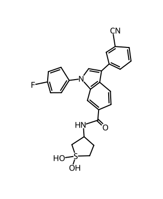 N#Cc1cccc(-c2cn(-c3ccc(F)cc3)c3cc(C(=O)NC4CCS(O)(O)C4)ccc23)c1